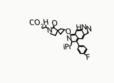 CC(C)c1nc(OC2CC3(CCN(C(C)C(=O)O)C3=O)C2)c2cc3[nH]ncc3cc2c1-c1ccc(F)cc1